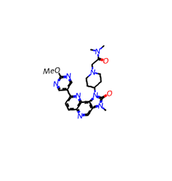 COc1ncc(-c2ccc3ncc4c(c3n2)n(C2CCN(CC(=O)N(C)C)CC2)c(=O)n4C)cn1